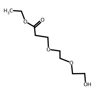 CCOC(=O)CCOCCOCCO